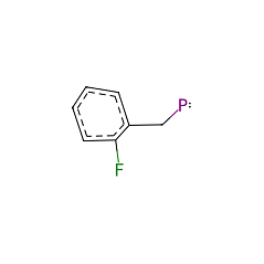 Fc1ccccc1C[P]